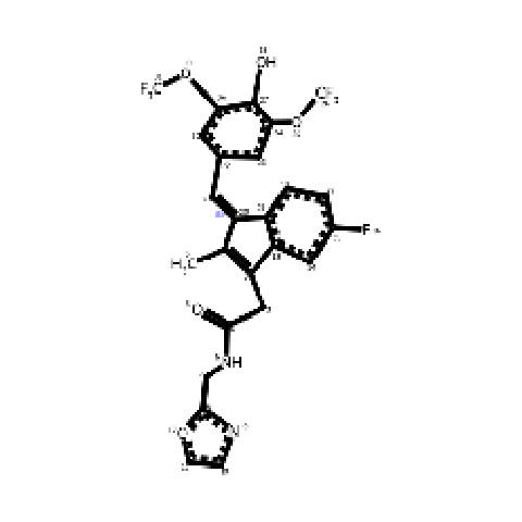 CC1=C(CC(=O)NCc2ncco2)c2cc(F)ccc2/C1=C\c1cc(OC(F)(F)F)c(O)c(OC(F)(F)F)c1